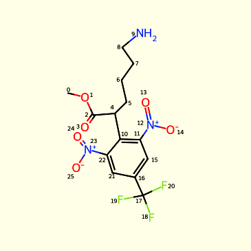 COC(=O)C(CCCCN)c1c([N+](=O)[O-])cc(C(F)(F)F)cc1[N+](=O)[O-]